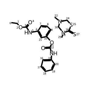 CCOC(=O)Nc1cccc(OC(=O)Nc2ccccc2)c1.CN1CSC(=S)N(C)C1